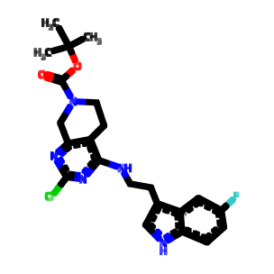 CC(C)(C)OC(=O)N1CCc2c(nc(Cl)nc2NCCc2c[nH]c3ccc(F)cc23)C1